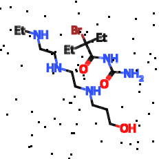 CCC(Br)(CC)C(=O)NC(N)=O.CCNCCNCCNCCCO